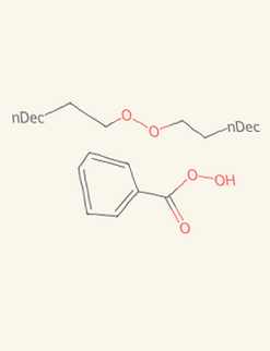 CCCCCCCCCCCCOOCCCCCCCCCCCC.O=C(OO)c1ccccc1